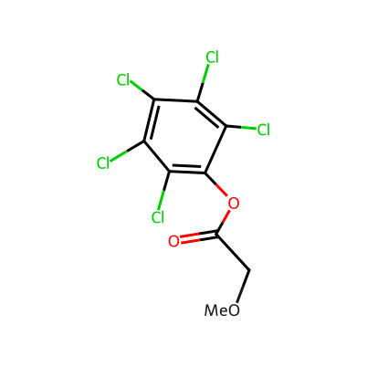 COCC(=O)Oc1c(Cl)c(Cl)c(Cl)c(Cl)c1Cl